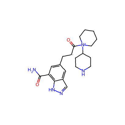 NC(=O)c1cc(C[CH]C(=O)[N+]2(C3CCNCC3)CCCCC2)cc2cn[nH]c12